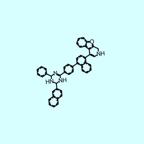 C1=C(c2ccc(-c3ccc(C4=NC(c5ccccc5)NC(c5ccc6ccccc6c5)N4)cc3)c3ccccc23)c2c(oc3ccccc23)CN1